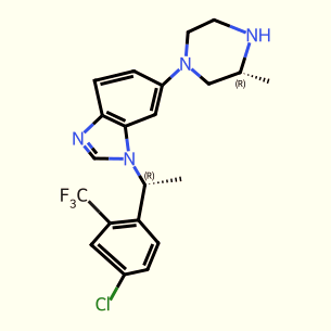 C[C@@H]1CN(c2ccc3ncn([C@H](C)c4ccc(Cl)cc4C(F)(F)F)c3c2)CCN1